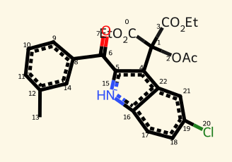 CCOC(=O)C(OC(C)=O)(C(=O)OCC)c1c(C(=O)c2cccc(C)c2)[nH]c2ccc(Cl)cc12